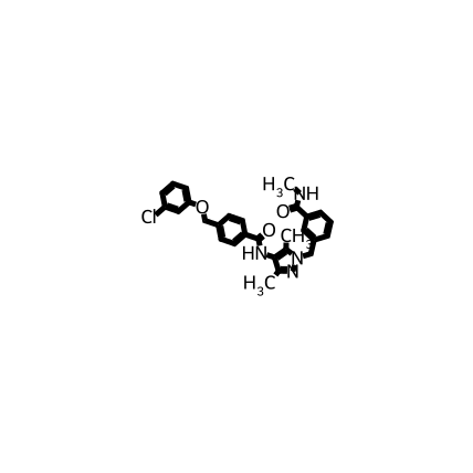 CNC(=O)c1cccc(Cn2nc(C)c(NC(=O)c3ccc(COc4cccc(Cl)c4)cc3)c2C)c1